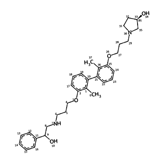 Cc1c(OCCCNCC(O)c2ccccc2)cccc1-c1cccc(OCCCN2CC[C@@H](O)C2)c1C